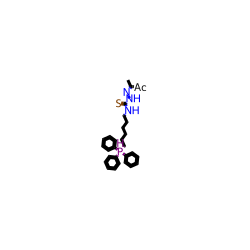 CC(=O)/C(C)=N\NC(=S)NCCCCCC[PH](c1ccccc1)(c1ccccc1)c1ccccc1